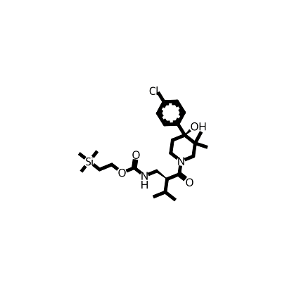 CC(C)[C@@H](CNC(=O)OCC[Si](C)(C)C)C(=O)N1CC[C@](O)(c2ccc(Cl)cc2)C(C)(C)C1